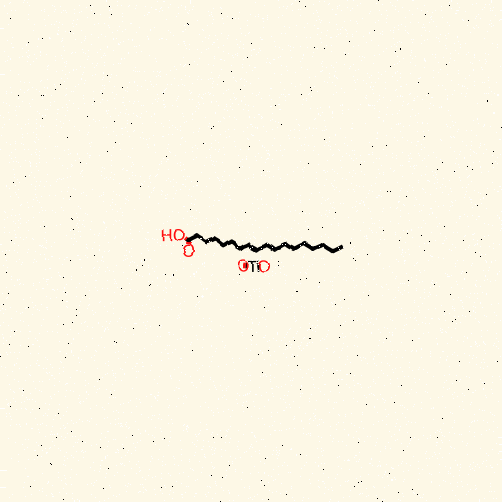 CCCCCCCCCCCCCCCCCC(=O)O.[O]=[Ti]=[O]